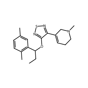 CCC(Oc1nsnc1C1=CCCN(C)C1)c1cc(C)ccc1C